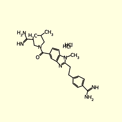 CC(C)CN(CCC(=N)N)C(=O)c1ccc2c(c1)nc(CCc1ccc(C(=N)N)cc1)n2C.Cl.Cl